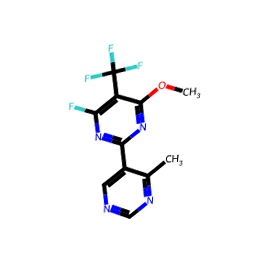 COc1nc(-c2cncnc2C)nc(F)c1C(F)(F)F